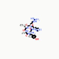 CC(C)[C@H](NC(=O)[C@H](CC(=O)O)NC(=O)[C@H](CCCNC(=N)N)NC(=O)[C@H](Cc1c[nH]cn1)NC(=O)[C@H](C)N)C(=O)N[C@@H](Cc1ccc(O)cc1)C(=O)O